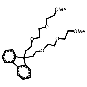 COCCOCCOCCC1(CCOCCOCCOC)c2c[c]ccc2-c2ccccc21